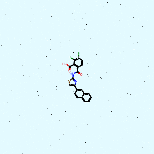 O=C(Nc1nc(-c2ccc3ccccc3c2)cs1)c1ccc(F)c(F)c1C(=O)O